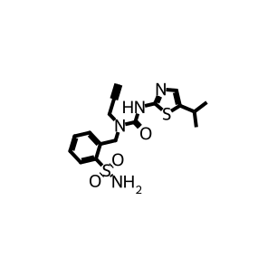 C#CCN(Cc1ccccc1S(N)(=O)=O)C(=O)Nc1ncc(C(C)C)s1